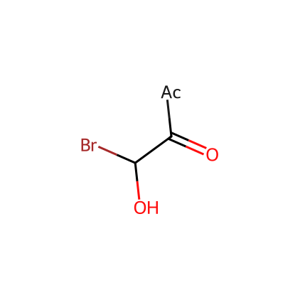 CC(=O)C(=O)C(O)Br